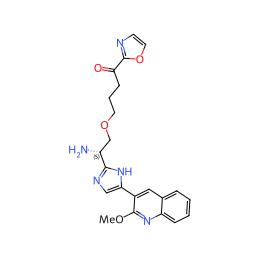 COc1nc2ccccc2cc1-c1cnc([C@H](N)COCCCC(=O)c2ncco2)[nH]1